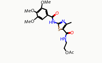 COc1cc(C(=O)Nc2nc(C)c(C(=O)NCCOC(C)=O)s2)cc(OC)c1OC